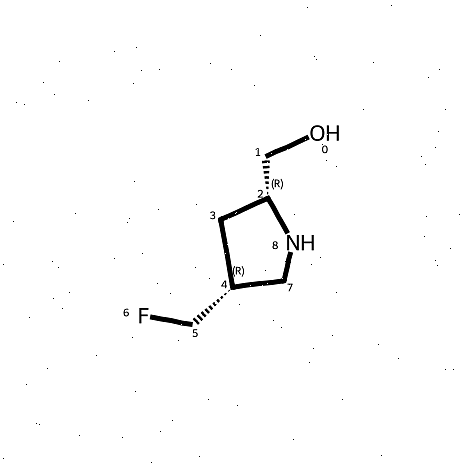 OC[C@H]1C[C@@H](CF)CN1